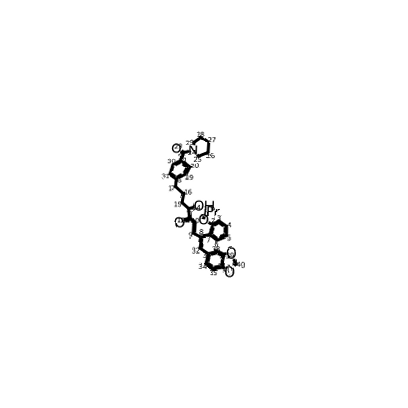 CC(C)Oc1ccccc1C(C=CC(=O)C(O)CCCc1ccc(C(=O)N2CCCCC2)cc1)=Cc1ccc2c(c1)OCO2